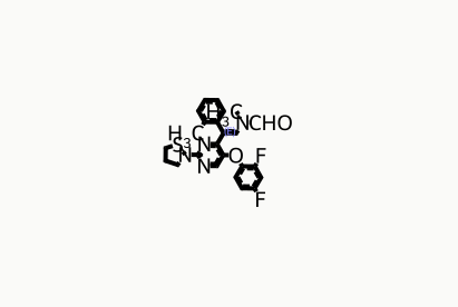 Cc1ccccc1/C(=C\N(C)C=O)c1nc(N2CCCS2)ncc1Oc1ccc(F)cc1F